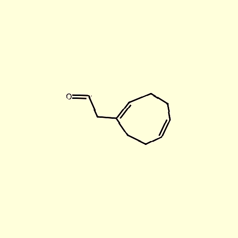 O=[C]CC1=CCCC=CCC1